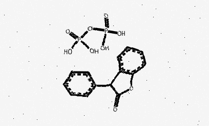 O=C1Oc2ccccc2C1c1ccccc1.O=P(O)(O)OP(=O)(O)O